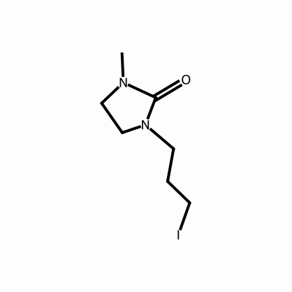 CN1CCN(CCCI)C1=O